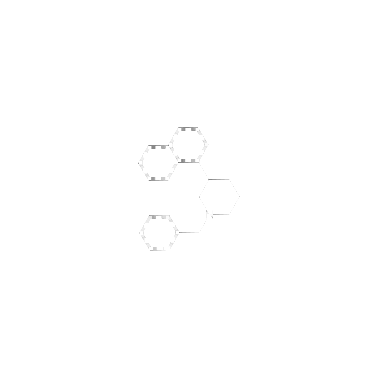 c1ccc(CN2CCCC(c3cccc4ccccc34)C2)cc1